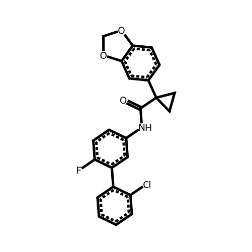 O=C(Nc1ccc(F)c(-c2ccccc2Cl)c1)C1(c2ccc3c(c2)OCO3)CC1